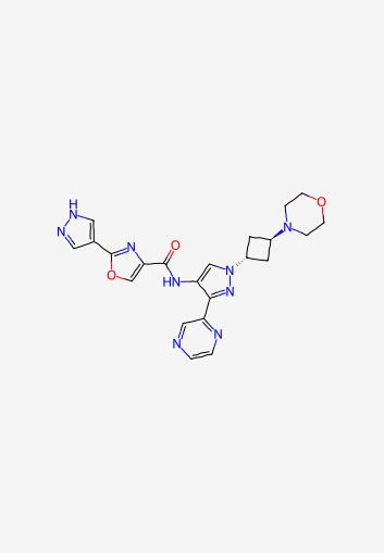 O=C(Nc1cn([C@H]2C[C@H](N3CCOCC3)C2)nc1-c1cnccn1)c1coc(-c2cn[nH]c2)n1